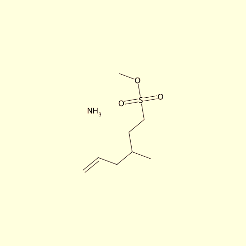 C=CCC(C)CCS(=O)(=O)OC.N